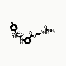 Cc1ccc(S(=O)(=O)NC(=O)Nc2cccc(C(=O)OCCSNC(N)=O)c2)cc1